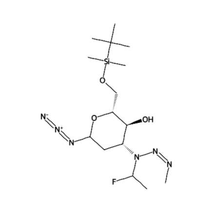 C/N=N\N(C(C)F)[C@@H]1CC(N=[N+]=[N-])O[C@H](CO[Si](C)(C)C(C)(C)C)[C@H]1O